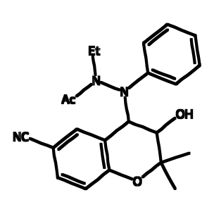 CCN(C(C)=O)N(c1ccccc1)C1c2cc(C#N)ccc2OC(C)(C)C1O